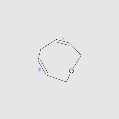 C1=C\COC/C=C\C/1